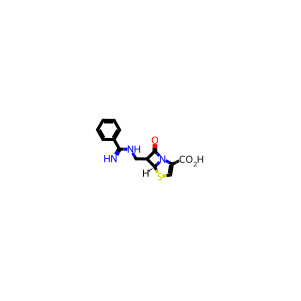 N=C(NCC1C(=O)N2C(C(=O)O)=CS[C@@H]12)c1ccccc1